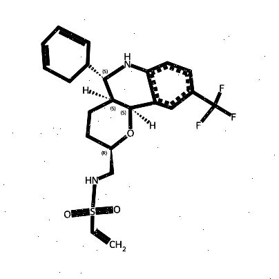 C=CS(=O)(=O)NC[C@H]1CC[C@@H]2[C@H](O1)c1cc(C(F)(F)F)ccc1N[C@H]2C1C=CC=CC1